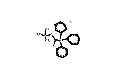 CCC(O[Si](C)(C)C(C)(C)C)[P+](c1ccccc1)(c1ccccc1)c1ccccc1.[Br-]